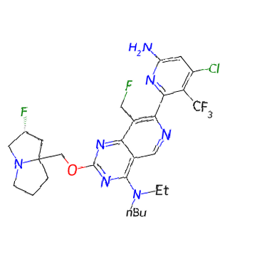 CCCCN(CC)c1nc(OCC23CCCN2C[C@H](F)C3)nc2c(CF)c(-c3nc(N)cc(Cl)c3C(F)(F)F)ncc12